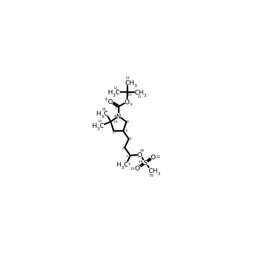 CC(CCC1CN(C(=O)OC(C)(C)C)C(C)(C)C1)OS(C)(=O)=O